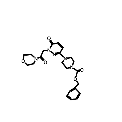 O=C(Cn1nc(N2CCN(C(=O)OCc3ccccc3)CC2)ccc1=O)N1CCOCC1